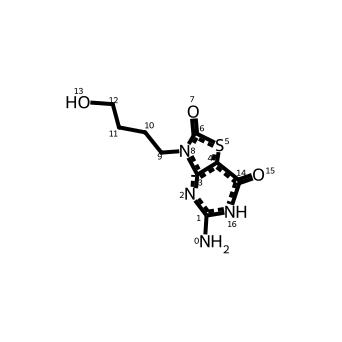 Nc1nc2c(sc(=O)n2CCCCO)c(=O)[nH]1